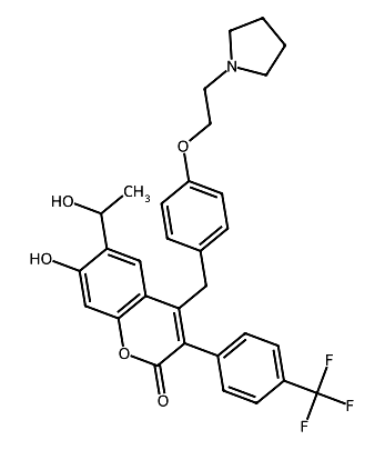 CC(O)c1cc2c(Cc3ccc(OCCN4CCCC4)cc3)c(-c3ccc(C(F)(F)F)cc3)c(=O)oc2cc1O